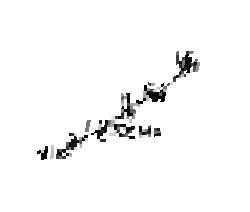 CCCCCCSCC(=O)NCCCCCC(=O)NCCN(CCNC(=O)CCCCCNC(=O)CSCCCCCCOP(=O)(O)OP)C(=O)COCOC